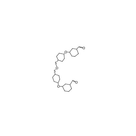 O=CC1CCCC(OC2CCC(SOSC3CCC(OC4CCCC(C=O)C4)CC3)CC2)C1